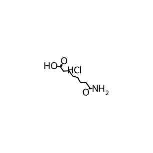 Cl.NC(=O)CCCCCCC(=O)O